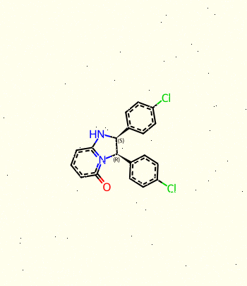 O=c1cccc2n1[C@H](c1ccc(Cl)cc1)[C@H](c1ccc(Cl)cc1)N2